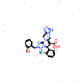 CC1=C(C(=O)O)C(c2c(Cl)cccc2Cl)N2NN(Cc3ccccc3Br)N=C2N1Cc1nnn[nH]1